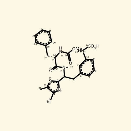 CCc1nc(C(Cc2cccc(NS(=O)(=O)O)c2)NC(=O)[C@H](Cc2ccccc2)NC(=O)OC)sc1C